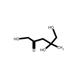 CC(O)(CO)CC(=O)CO